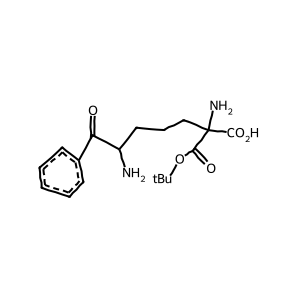 CC(C)(C)OC(=O)C(N)(CCCC(N)C(=O)c1ccccc1)C(=O)O